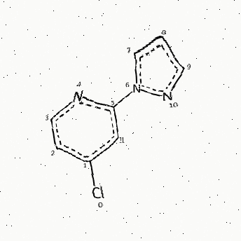 Clc1ccnc(-n2cccn2)c1